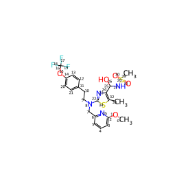 COc1cccc(CN(CCc2ccc(OC(F)(F)F)cc2)c2nc(C(O)NS(C)(=O)=O)c(C)s2)n1